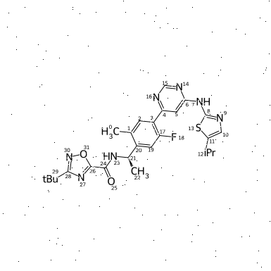 Cc1cc(-c2cc(Nc3ncc(C(C)C)s3)ncn2)c(F)cc1[C@@H](C)NC(=O)c1nc(C(C)(C)C)no1